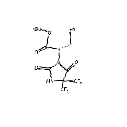 CC(C)C[C@@H](C(=O)OC(C)(C)C)N1C(=O)NC(C(F)(F)F)(C(F)(F)F)C1=O